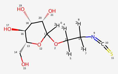 [2H]C1(OC([2H])([2H])C([2H])([2H])N=C=S)O[C@H](CO)[C@@H](O)[C@H](O)[C@@H]1O